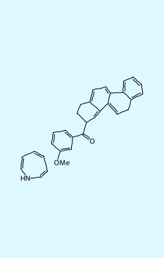 C1=CC=CNC=C1.COc1cccc(C(=O)C2C=c3c(ccc4c3=CCc3ccccc3-4)CC2)c1